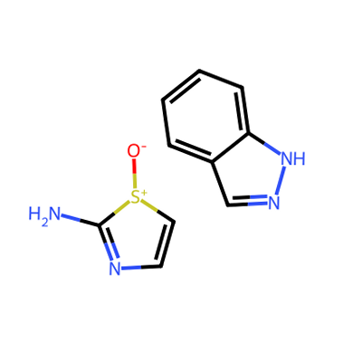 Nc1ncc[s+]1[O-].c1ccc2[nH]ncc2c1